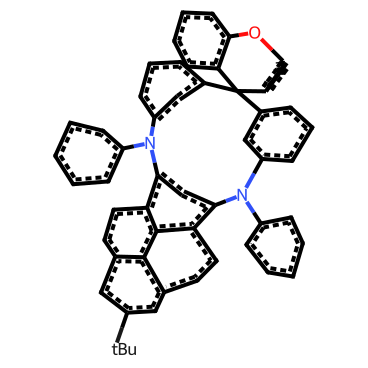 CC(C)(C)c1cc2ccc3c4cc(c5ccc(c1)c2c35)N(c1ccccc1)c1cccc(c1)C1(c2cccc(c2)N4c2ccccc2)c2ccccc2Oc2ccccc21